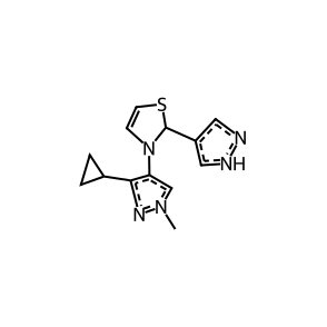 Cn1cc(N2C=CSC2c2cn[nH]c2)c(C2CC2)n1